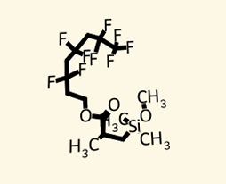 CO[Si](C)(C)CC(C)C(=O)OCCC(F)(F)CC(F)(F)CC(F)(F)C(F)(F)F